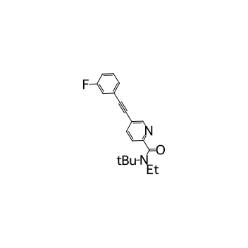 CCN(C(=O)c1ccc(C#Cc2cccc(F)c2)cn1)C(C)(C)C